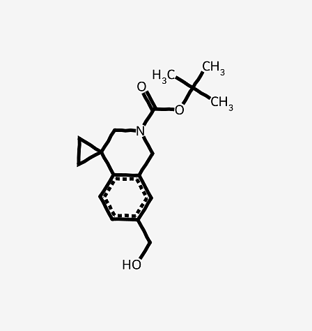 CC(C)(C)OC(=O)N1Cc2cc(CO)ccc2C2(CC2)C1